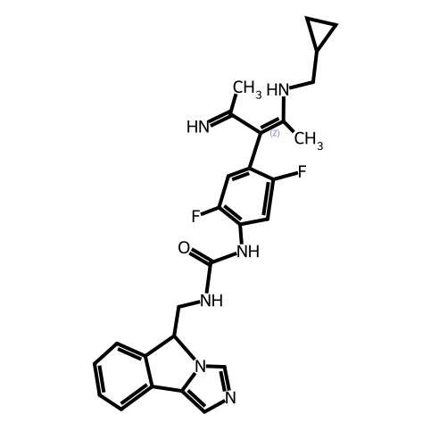 CC(=N)/C(=C(/C)NCC1CC1)c1cc(F)c(NC(=O)NCC2c3ccccc3-c3cncn32)cc1F